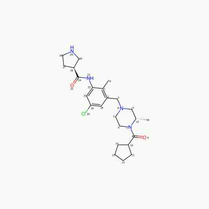 Cc1c(CN2CCN(C(=O)C3CCCC3)[C@@H](C)C2)cc(Cl)cc1NC(=O)[C@H]1CCNC1